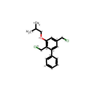 CC(C)COc1cc(CCl)cc(-c2ccccc2)c1CCl